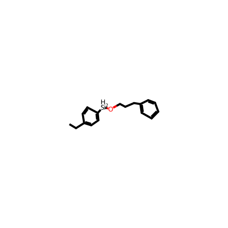 CCc1ccc([SiH2]OCCCc2ccccc2)cc1